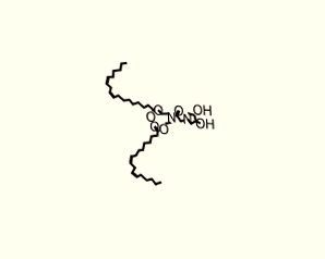 CCCCC/C=C\C/C=C\CCCCCCCC(=O)OCCN(CCOC(=O)CCCCCCC/C=C\C/C=C\CCCCC)C(=O)CN1CC(O)C(O)C1